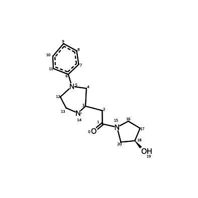 O=C(CC1CN(c2ccccc2)CC[N]1)N1CC[C@@H](O)C1